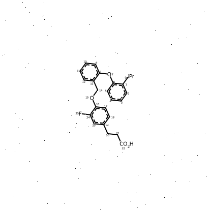 CC(C)c1ccccc1Oc1ccccc1COc1ccc(CCC(=O)O)cc1F